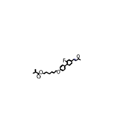 C=C(C)C(=O)OCCCCCCOc1ccc(-c2ccc(/C=C/C(C)=O)cc2F)cc1